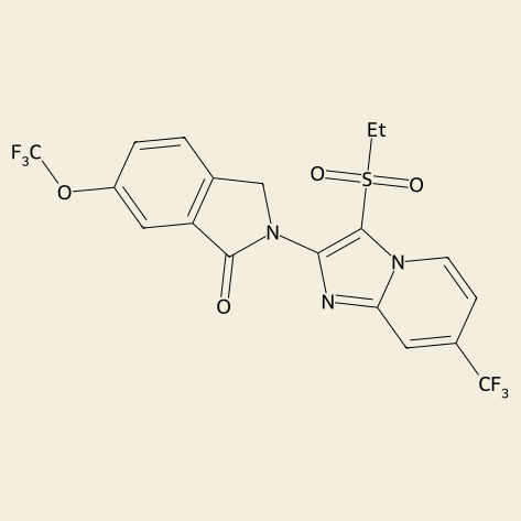 CCS(=O)(=O)c1c(N2Cc3ccc(OC(F)(F)F)cc3C2=O)nc2cc(C(F)(F)F)ccn12